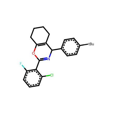 CC(C)(C)c1ccc(C2N=C(c3c(F)cccc3Cl)OC3=C2CCCC3)cc1